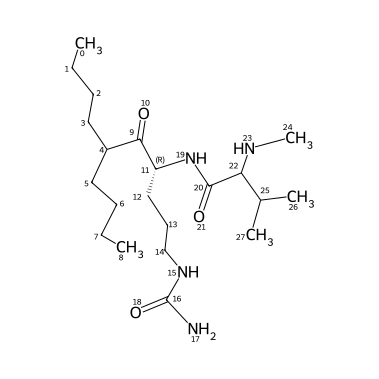 CCCCC(CCCC)C(=O)[C@@H](CCCNC(N)=O)NC(=O)C(NC)C(C)C